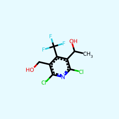 CC(O)c1c(Cl)nc(Cl)c(CO)c1C(F)(F)F